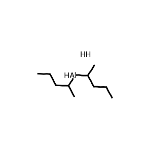 CCC[CH](C)[AlH][CH](C)CCC.[HH]